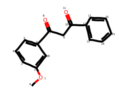 COc1cccc(C(=O)CC(=O)c2ccccc2)c1